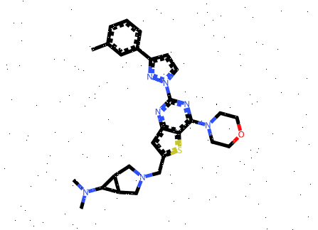 Cc1cccc(-c2ccn(-c3nc(N4CCOCC4)c4sc(CN5CC6C(C5)C6N(C)C)cc4n3)n2)c1